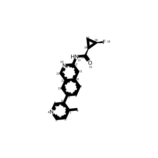 Cc1ccncc1-c1ccc2cc(NC(=O)[C@H]3C[C@H]3F)ncc2c1